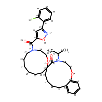 CC(C)N1CCOc2ccccc2CCCCC2(CCCCCCN(C(=O)c3cc(-c4ccccc4F)no3)CCO2)C1=O